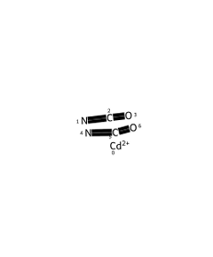 [Cd+2].[N-]=C=O.[N-]=C=O